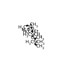 C=C[Si](C)(C)O[C@@](C)(CC)[Si](C)(C)OC(C)[Si](C)(C)C=C